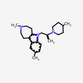 C=C(Cn1c2c(c3cc(C)ccc31)CCN(C)CC2)N1CCC(C)CC1